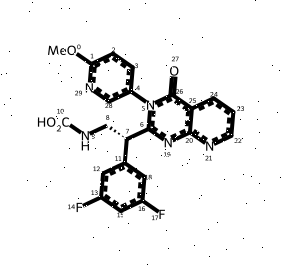 COc1ccc(-n2c([C@@H](CNC(=O)O)c3cc(F)cc(F)c3)nc3ncccc3c2=O)cn1